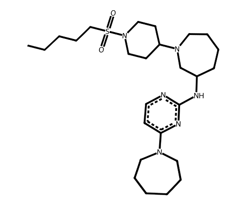 CCCCCS(=O)(=O)N1CCC(N2CCCCC(Nc3nccc(N4CCCCCC4)n3)C2)CC1